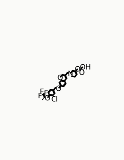 C[C@H](Oc1ccc(COc2ccc3c(c2)OCC(CN2CCC=C(OC(=O)O)C2)=C3)cc1Cl)C(F)(F)F